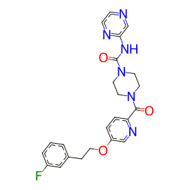 O=C(Nc1cnccn1)N1CCN(C(=O)c2ccc(OCCc3cccc(F)c3)cn2)CC1